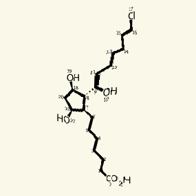 O=C(O)CCCCCC[C@@H]1[C@@H](C(O)=CCCCCCCl)[C@H](O)C[C@@H]1O